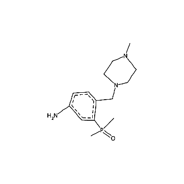 CN1CCN(Cc2ccc(N)cc2P(C)(C)=O)CC1